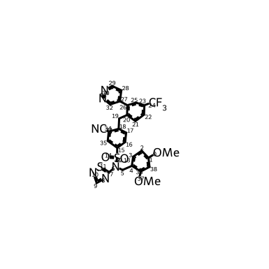 COc1ccc(CN(c2ncns2)S(=O)(=O)c2ccc(Cc3ccc(C(F)(F)F)cc3-c3ccnnc3)c(C#N)c2)c(OC)c1